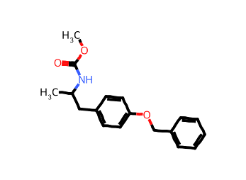 COC(=O)NC(C)Cc1ccc(OCc2ccccc2)cc1